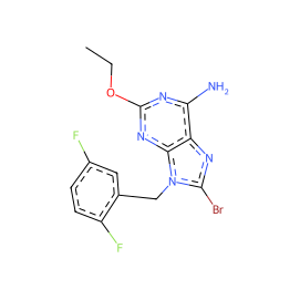 CCOc1nc(N)c2nc(Br)n(Cc3cc(F)ccc3F)c2n1